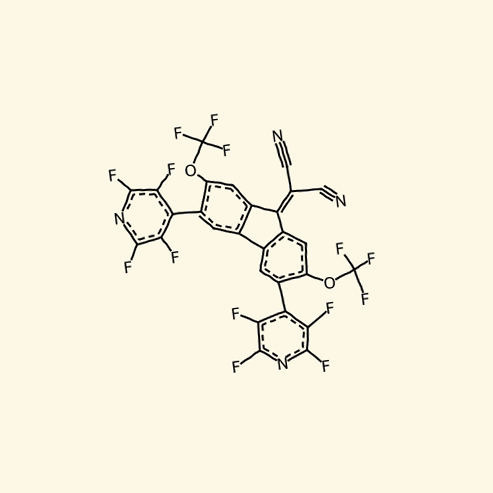 N#CC(C#N)=C1c2cc(OC(F)(F)F)c(-c3c(F)c(F)nc(F)c3F)cc2-c2cc(-c3c(F)c(F)nc(F)c3F)c(OC(F)(F)F)cc21